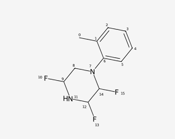 Cc1ccccc1N1CC(F)NC(F)C1F